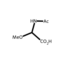 COC(NC(C)=O)C(=O)O